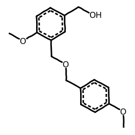 COc1ccc(COCc2cc(CO)ccc2OC)cc1